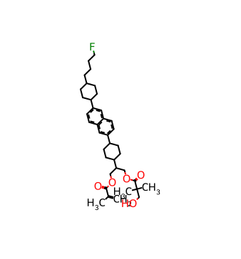 C=C(C)C(=O)OCC(COC(=O)C(C)(C)CO)C1CCC(c2ccc3cc(C4CCC(CCCCF)CC4)ccc3c2)CC1